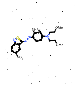 COCCN(CCOC)c1ccc(N=Nc2snc3ccc([N+](=O)[O-])cc23)c(NC(C)=O)c1